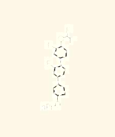 CCCOc1ccc(-c2ccc(-c3ccc(OC(F)F)c(F)c3)c(F)c2)cc1